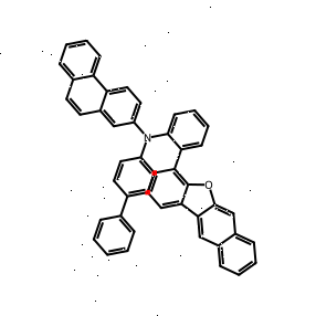 c1ccc(-c2ccc(N(c3ccc4c(ccc5ccccc54)c3)c3ccccc3-c3cccc4c3oc3cc5ccccc5cc34)cc2)cc1